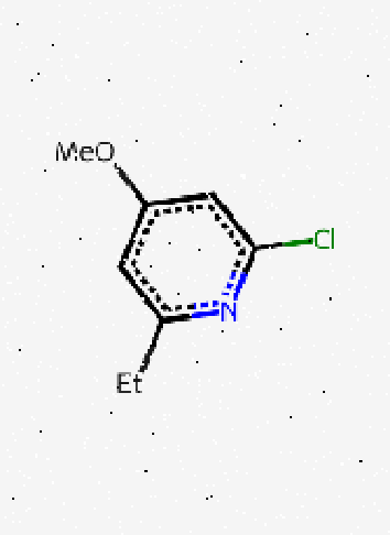 CCc1cc(OC)cc(Cl)n1